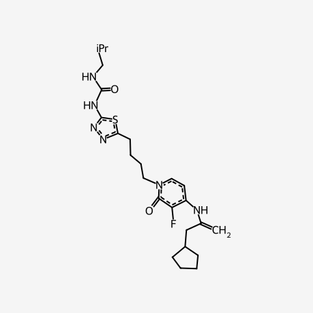 C=C(CC1CCCC1)Nc1ccn(CCCCc2nnc(NC(=O)NCC(C)C)s2)c(=O)c1F